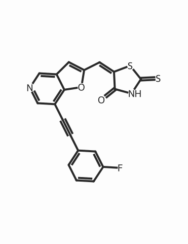 O=C1NC(=S)SC1=Cc1cc2cncc(C#Cc3cccc(F)c3)c2o1